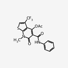 CC(=O)Oc1c(C(=O)Nc2ccccc2)c(=O)n(C)c2scc(C(F)(F)F)c12